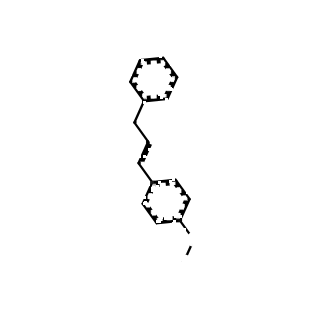 COc1ccc(C=C[CH]c2ccccc2)cc1